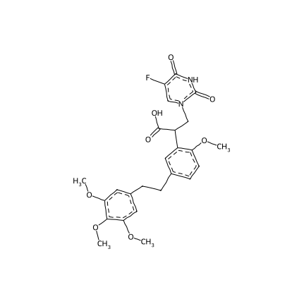 COc1ccc(CCc2cc(OC)c(OC)c(OC)c2)cc1C(Cn1cc(F)c(=O)[nH]c1=O)C(=O)O